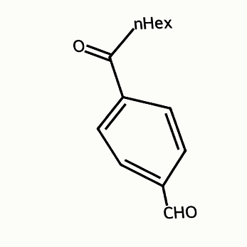 CCCCCCC(=O)c1ccc(C=O)cc1